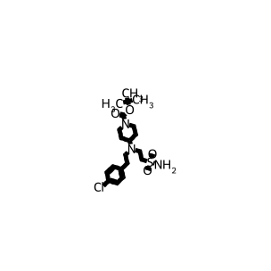 CC(C)(C)OC(=O)N1CCC(N(CCc2ccc(Cl)cc2)CCS(N)(=O)=O)CC1